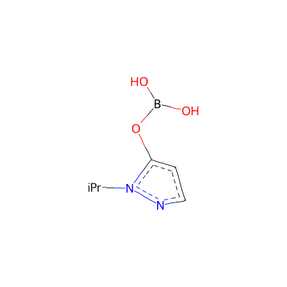 CC(C)n1nccc1OB(O)O